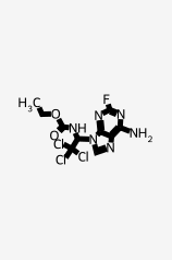 CCOC(=O)NC(n1cnc2c(N)nc(F)nc21)C(Cl)(Cl)Cl